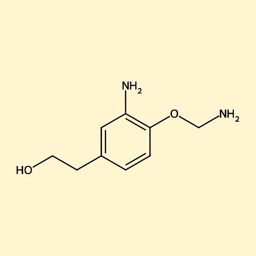 NCOc1ccc(CCO)cc1N